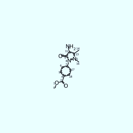 COC(=O)c1ccc(-n2c(=O)c(N)c(C)n2C)cc1